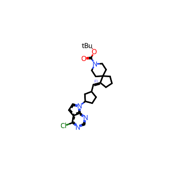 CC(C)(C)OC(=O)N1CCC2(CCC/C2=C\C2CCC(n3ccc4c(Cl)ncnc43)C2)CC1